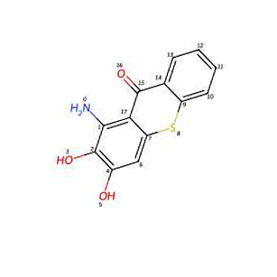 Nc1c(O)c(O)cc2sc3ccccc3c(=O)c12